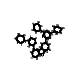 c1ccc(-c2cccc(-c3cccc4oc5ccc(-c6nc(-c7ccccc7)nc(-c7ccccc7)n6)cc5c34)c2)cc1